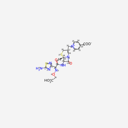 Nc1nc(C(=NOCC(=O)O)C(=O)NC2C(=O)N3C=C(C[n+]4ccc(C(=O)[O-])cc4)CS[C@@H]23)ns1